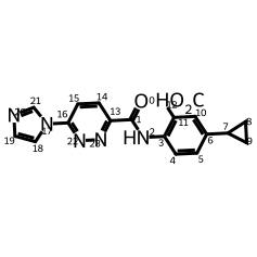 O=C(Nc1ccc(C2CC2)cc1C(=O)O)c1ccc(-n2ccnc2)nn1